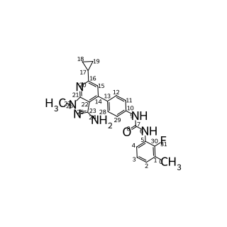 Cc1cccc(NC(=O)Nc2ccc(-c3cc(C4CC4)nc4c3c(N)nn4C)cc2)c1F